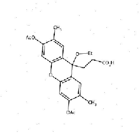 CCOC1(CCC(=O)O)c2cc(C)c(OC(C)=O)cc2Oc2cc(OC(C)=O)c(C)cc21